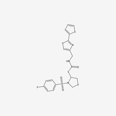 O=C(NCc1csc(-c2cccs2)n1)SC1CSCN1S(=O)(=O)c1ccc(F)cc1